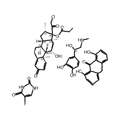 CCC(=O)O[C@]1(C(=O)CCl)[C@@H](C)C[C@H]2[C@@H]3CCC4=CC(=O)C=C[C@]4(C)[C@@]3(F)[C@@H](O)C[C@@]21C.CNC[C@H](O)c1ccc(O)c(O)c1.O=C1c2c(O)cccc2Cc2cccc(O)c21.O=c1[nH]cc(F)c(=O)[nH]1